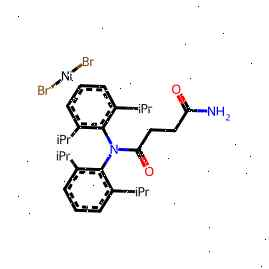 CC(C)c1cccc(C(C)C)c1N(C(=O)CCC(N)=O)c1c(C(C)C)cccc1C(C)C.[Br][Ni][Br]